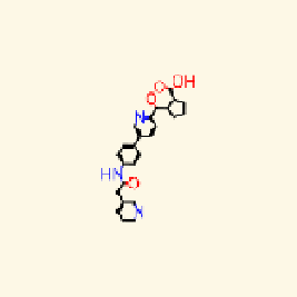 O=C(Cc1cccnc1)Nc1ccc(-c2ccc(C(=O)C3CCCC3C(=O)O)nc2)cc1